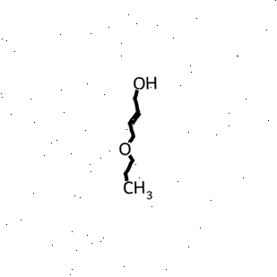 CCCOCC=CCO